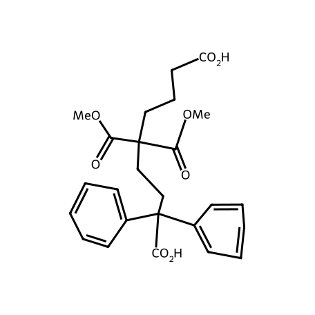 COC(=O)C(CCCC(=O)O)(CCC(C(=O)O)(c1ccccc1)c1ccccc1)C(=O)OC